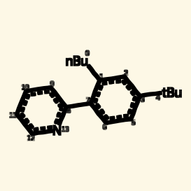 CCCCc1cc(C(C)(C)C)ccc1-c1ccccn1